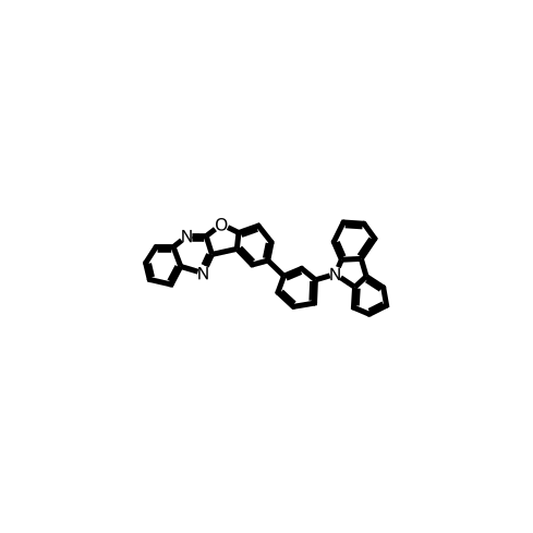 c1cc(-c2ccc3oc4nc5ccccc5nc4c3c2)cc(-n2c3ccccc3c3ccccc32)c1